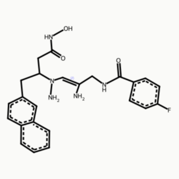 N/C(=C\N(N)C(CC(=O)NO)Cc1ccc2ccccc2c1)CNC(=O)c1ccc(F)cc1